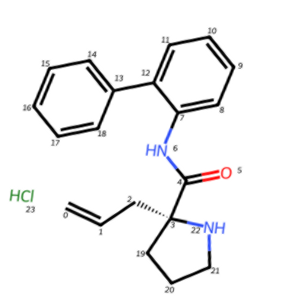 C=CC[C@@]1(C(=O)Nc2ccccc2-c2ccccc2)CCCN1.Cl